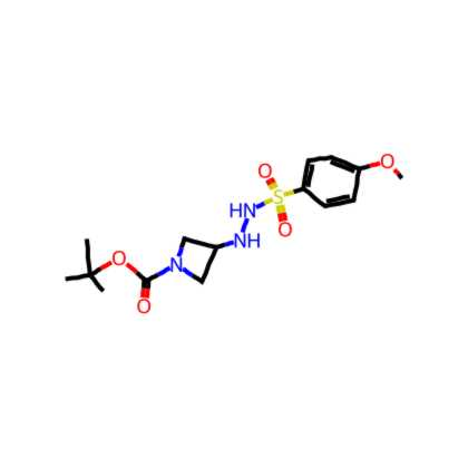 COc1ccc(S(=O)(=O)NNC2CN(C(=O)OC(C)(C)C)C2)cc1